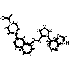 CC(=O)N1CCN(c2ccc3cccc(OCC4CCCN4c4ncnc5[nH]cnc45)c3c2)CC1